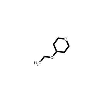 CCOC1C[C]OCC1